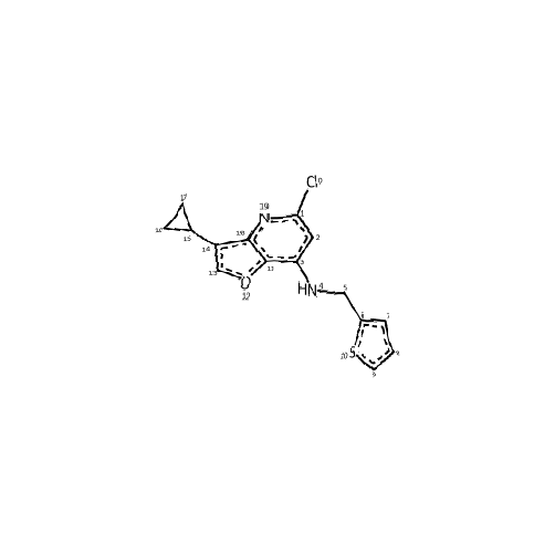 Clc1cc(NCc2cccs2)c2occ(C3CC3)c2n1